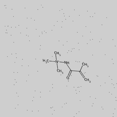 C=C(C)C(=O)N[N+](C)(C)C